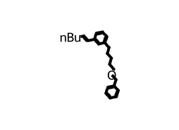 CCCC/C=C/c1cccc(CCCCCOCc2ccccc2)c1